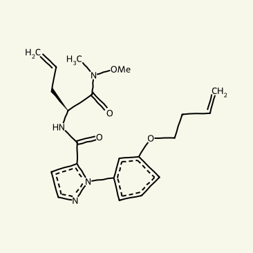 C=CCCOc1cccc(-n2nccc2C(=O)N[C@@H](CC=C)C(=O)N(C)OC)c1